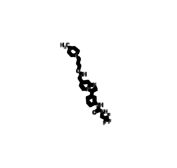 CN1CCN(CCCONCc2ccn3c(-c4cccc(NC(=O)NCC(F)(F)F)c4)cnc3c2)CC1